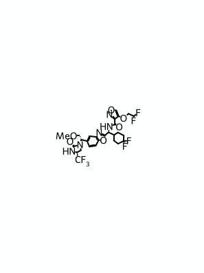 COC[C@H](c1ccc2oc([C@@H](NC(=O)c3nocc3OCC(F)F)C3CCC(F)(F)CC3)nc2c1)N1C[C@@H](C(F)(F)F)NC1=O